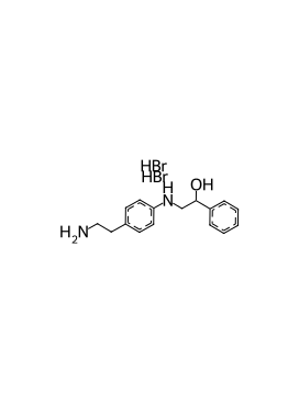 Br.Br.NCCc1ccc(NCC(O)c2ccccc2)cc1